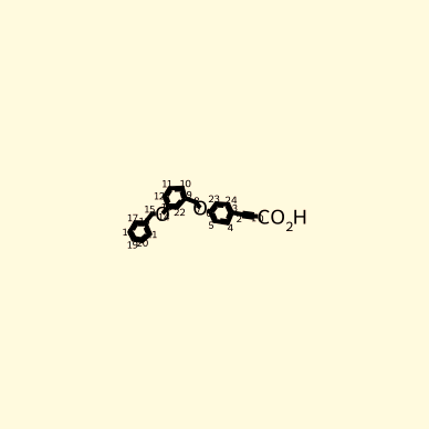 O=C(O)C#Cc1ccc(OCc2cccc(OCc3ccccc3)c2)cc1